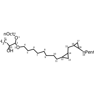 CCCCCCCCOC(OCCCCCCCCC1CC1CC1CC1CCCCC)C(C)O